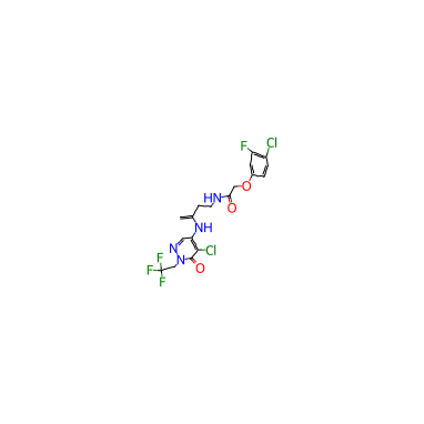 C=C(CCNC(=O)COc1ccc(Cl)c(F)c1)Nc1cnn(CC(F)(F)F)c(=O)c1Cl